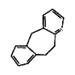 [CH]1c2ccccc2CCc2ncccc21